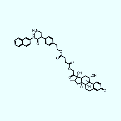 C[C@@H]1C[C@H]2[C@@H]3CCC4=CC(=O)C=C[C@]4(C)[C@@]3(F)[C@@H](O)C[C@]2(C)[C@@]1(O)C(=O)COC(=O)CCC(=O)OCCc1ccc(C(CN)C(=O)Nc2ccc3ccccc3c2)cc1